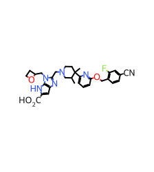 CC1CN(Cc2nc3cc(C(=O)O)[nH]c3n2CC2CCO2)CCC1(C)c1cccc(OCc2ccc(C#N)cc2F)n1